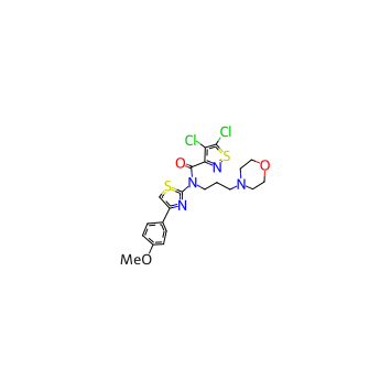 COc1ccc(-c2csc(N(CCCN3CCOCC3)C(=O)c3nsc(Cl)c3Cl)n2)cc1